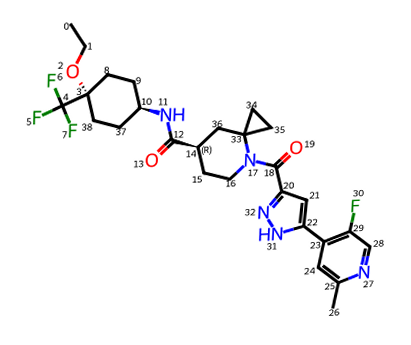 CCO[C@]1(C(F)(F)F)CC[C@@H](NC(=O)[C@@H]2CCN(C(=O)c3cc(-c4cc(C)ncc4F)[nH]n3)C3(CC3)C2)CC1